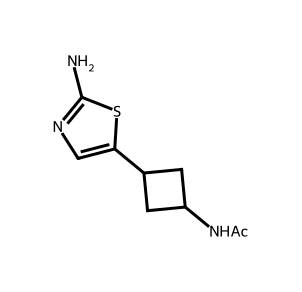 CC(=O)NC1CC(c2cnc(N)s2)C1